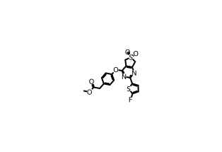 COC(=O)Cc1ccc(Oc2nc(-c3ccc(F)s3)nc3c2CS(=O)(=O)C3)cc1